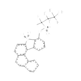 O=S1(=O)c2ccc3ccc4ccccc4c3c2-c2cccc(OS(=O)(=O)C(F)(F)C(F)(F)C(F)(F)C(F)(F)F)c21